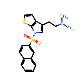 CN(C)CCc1cn(S(=O)(=O)c2ccc3ccccc3c2)c2sccc12